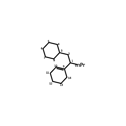 CCCC(CC1CCCCC1)C1=CCCCC1